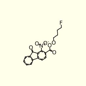 O=C(OOCCCCF)c1ccc2c(c1[N+](=O)[O-])C(=O)c1ccccc1-2